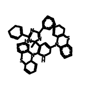 CC1(C2=C(N3c4ccccc4SC4C=CC=CC43)NCC(N3C4=C(CCC=C4)Sc4ccccc43)=C2)N=C(c2ccccc2)N=C(C2=CCCC=C2)N1